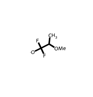 COC(C)C([O])(F)F